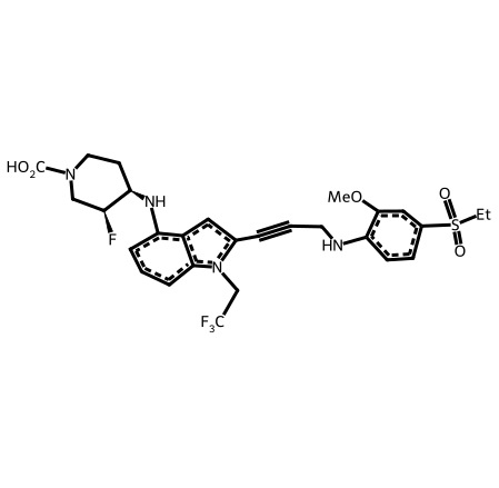 CCS(=O)(=O)c1ccc(NCC#Cc2cc3c(N[C@@H]4CCN(C(=O)O)C[C@@H]4F)cccc3n2CC(F)(F)F)c(OC)c1